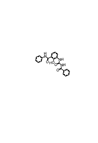 O=C(NC(=O)c1ccccc1)Nc1cccc(C(=O)Nc2ccccc2)c1O